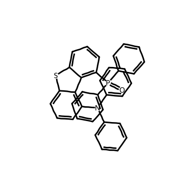 O=P(c1ccccc1)(c1ccccc1)c1cccc2sc3cccc(N(c4ccccc4)c4ccccc4)c3c12